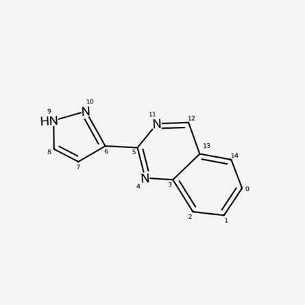 c1ccc2nc(-c3cc[nH]n3)ncc2c1